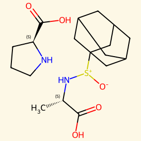 C[C@H](N[S+]([O-])C12CC3CC(CC(C3)C1)C2)C(=O)O.O=C(O)[C@@H]1CCCN1